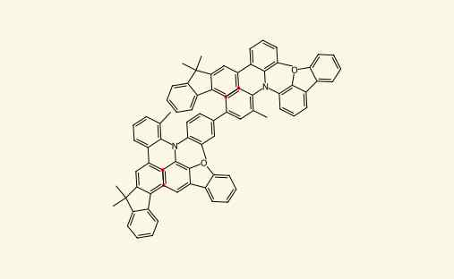 Cc1cc(-c2ccc(N(c3c(C)cccc3-c3ccc4c(c3)C(C)(C)c3ccccc3-4)c3cccc4c3oc3ccccc34)c(C)c2)ccc1N(c1c(C)cccc1-c1ccc2c(c1)C(C)(C)c1ccccc1-2)c1cccc2c1oc1ccccc12